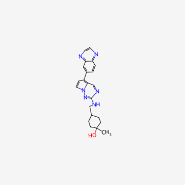 CC1(O)CCC(CNc2ncc3c(-c4ccc5nccnc5c4)ccn3n2)CC1